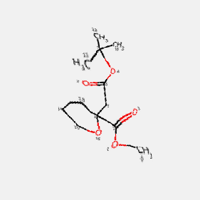 COC(=O)C1(CC(=O)OC(C)(C)C)CCCO1